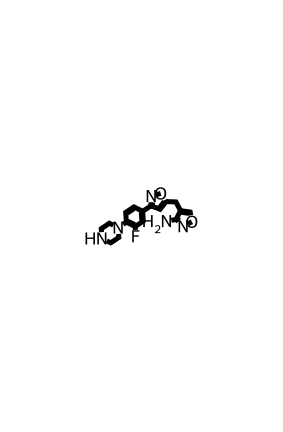 Nc1nocc1Cc1cc(-c2ccc(N3CCNCC3)c(F)c2)no1